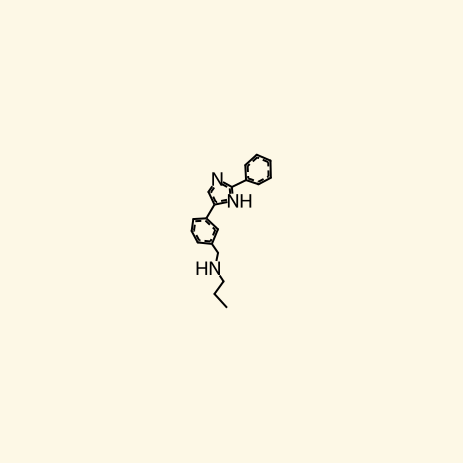 CCCNCc1cccc(-c2cnc(-c3ccccc3)[nH]2)c1